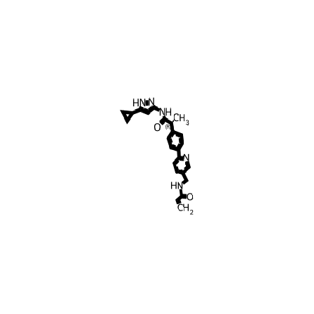 C=CC(=O)NCc1ccc(-c2ccc([C@@H](C)C(=O)Nc3cc(C4CC4)[nH]n3)cc2)nc1